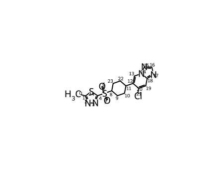 Cc1nnc(S(=O)(=O)C2CCC(c3cn4ncnc4cc3Cl)CC2)s1